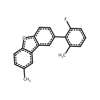 Cc1ccc2oc3ccc(-c4c(C)cccc4F)cc3c2c1